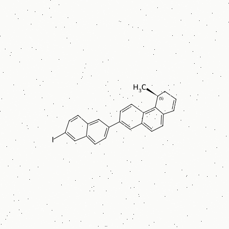 C[C@H]1CC=Cc2ccc3cc(-c4ccc5cc(I)ccc5c4)ccc3c21